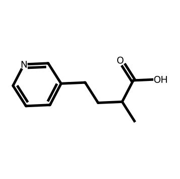 CC(CCc1cccnc1)C(=O)O